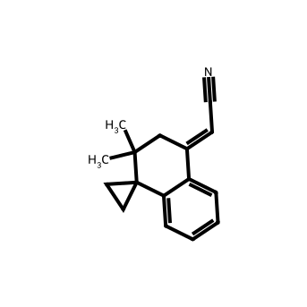 CC1(C)CC(=CC#N)c2ccccc2C12CC2